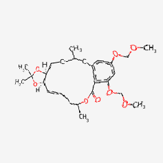 COCOc1cc2c(c(OCOC)c1)C(=O)O[C@@H](C)C/C=C/[C@H]1OC(C)(C)O[C@H]1CCC(C)C2